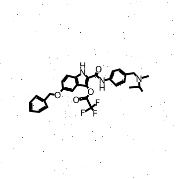 CC(C)N(C)Cc1ccc(NC(=O)c2[nH]c3ccc(OCc4ccccc4)cc3c2OC(=O)C(F)(F)F)cc1